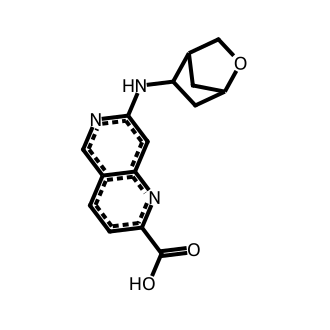 O=C(O)c1ccc2cnc(NC3CC4CC3CO4)cc2n1